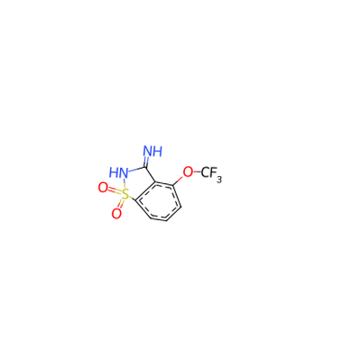 N=C1NS(=O)(=O)c2cccc(OC(F)(F)F)c21